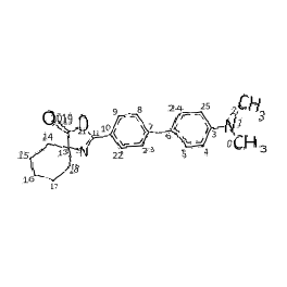 CN(C)c1ccc(-c2ccc(C3=NC4(CCCCC4)C(=O)O3)cc2)cc1